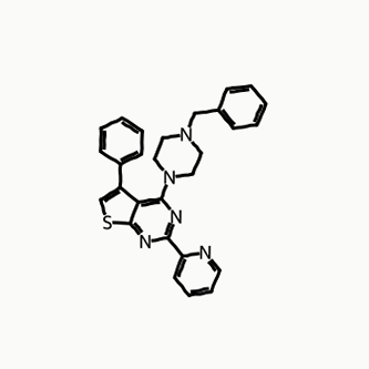 c1ccc(CN2CCN(c3nc(-c4ccccn4)nc4scc(-c5ccccc5)c34)CC2)cc1